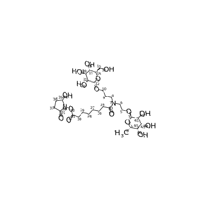 C[C@@H]1O[C@@H](OCCN(CCCO[C@H]2O[C@H](CO)[C@@H](O)[C@H](O)[C@@H]2O)C(=O)CCCCCCC(=O)ON2C(=O)CCC2O)[C@@H](O)[C@H](O)[C@@H]1O